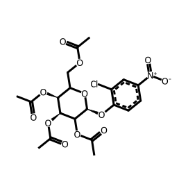 CC(=O)OCC1O[C@@H](Oc2ccc([N+](=O)[O-])cc2Cl)C(OC(C)=O)[C@@H](OC(C)=O)[C@H]1OC(C)=O